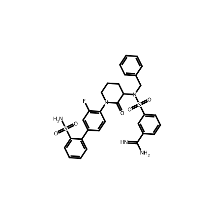 N=C(N)c1cccc(S(=O)(=O)N(Cc2ccccc2)C2CCCN(c3ccc(-c4ccccc4S(N)(=O)=O)cc3F)C2=O)c1